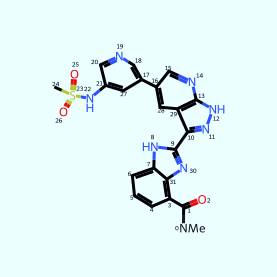 CNC(=O)c1cccc2[nH]c(-c3n[nH]c4ncc(-c5cncc(NS(C)(=O)=O)c5)cc34)nc12